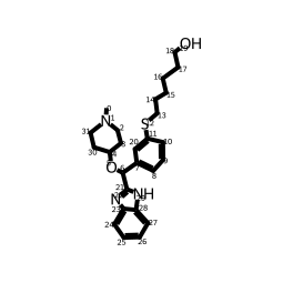 CN1CCC(OC(c2cccc(SCCCCCCO)c2)c2nc3ccccc3[nH]2)CC1